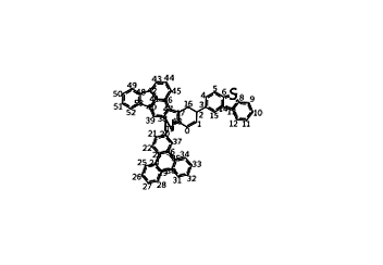 C1=CC(c2ccc3sc4ccccc4c3c2)Cc2c1n(-c1ccc3c4ccccc4c4ccccc4c3c1)c1cc3c4c(cccc4c21)-c1ccccc1-3